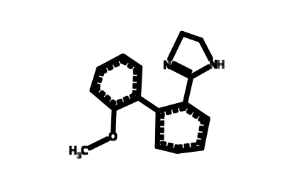 COc1ccccc1-c1ccccc1C1=NCCN1